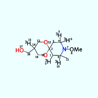 [3H]C1C2(CC([3H])([3H])N(OC)C1([3H])C)OCC([3H])(CO)CO2